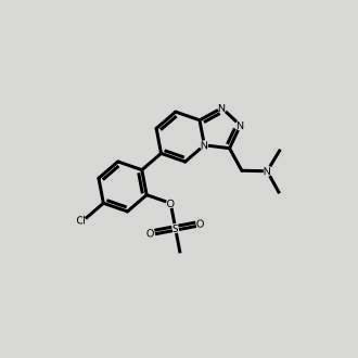 CN(C)Cc1nnc2ccc(-c3ccc(Cl)cc3OS(C)(=O)=O)cn12